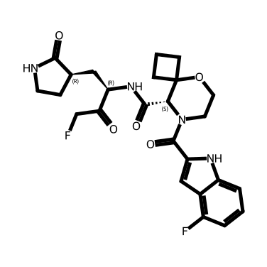 O=C1NCC[C@@H]1C[C@@H](NC(=O)[C@H]1N(C(=O)c2cc3c(F)cccc3[nH]2)CCOC12CCC2)C(=O)CF